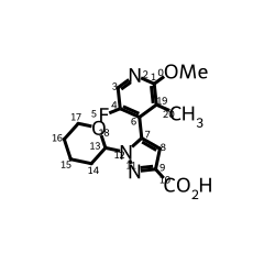 COc1ncc(F)c(-c2cc(C(=O)O)nn2C2CCCCO2)c1C